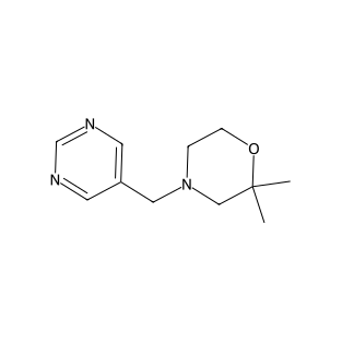 CC1(C)CN(Cc2cncnc2)CCO1